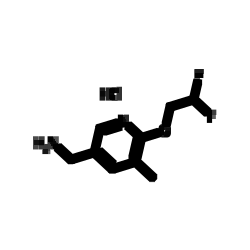 Cc1cc(CN)cnc1OCC(F)F.Cl